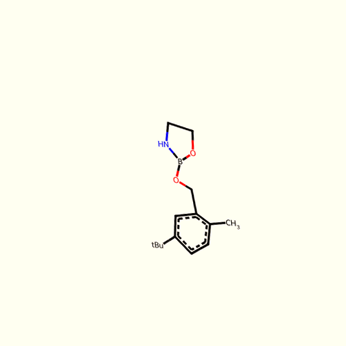 Cc1ccc(C(C)(C)C)cc1COB1NCCO1